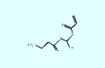 C=CC(=O)OC(CCC)OC(=O)CCC(=O)O